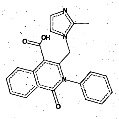 Cc1nccn1Cc1c(C(=O)O)c2ccccc2c(=O)n1-c1ccccc1